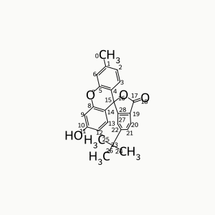 Cc1ccc2c(c1)Oc1cc(O)ccc1C21OC(=O)c2ccc(C(C)(C)C)cc21